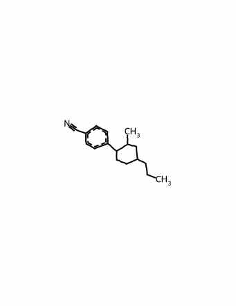 CCCC1CCC(c2ccc(C#N)cc2)C(C)C1